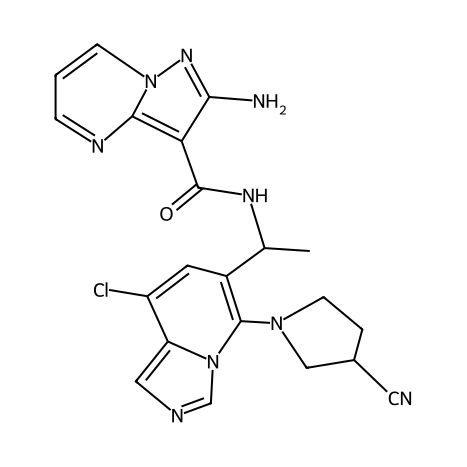 CC(NC(=O)c1c(N)nn2cccnc12)c1cc(Cl)c2cncn2c1N1CCC(C#N)C1